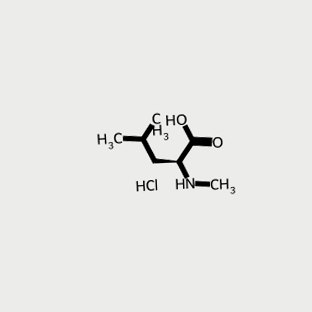 CN[C@@H](CC(C)C)C(=O)O.Cl